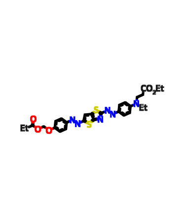 CCOC(=O)CCN(CC)c1ccc(N=Nc2nc3sc(N=Nc4ccc(OCOC(=O)CC)cc4)cc3s2)cc1